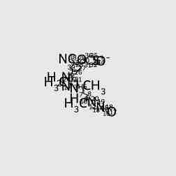 C/N=C1/NC(C(/C)=C/C=C(\C)N2CCN(C3COC3)CC2)=C/C1=C(/N)c1ccc(OC2CC[S+]([O-])CC2)c(C#N)c1